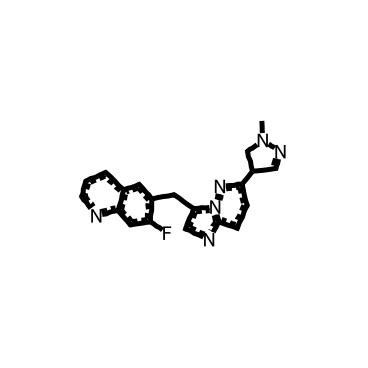 CN1CC(c2ccc3ncc(Cc4cc5cccnc5cc4F)n3n2)C=N1